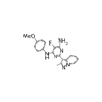 COc1ccc(Nc2nc(-c3c(C)nn4ccccc34)nc(N)c2F)cc1